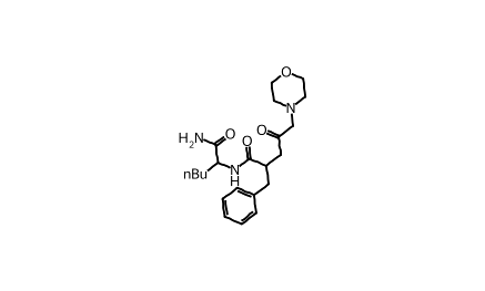 CCCCC(NC(=O)C(CC(=O)CN1CCOCC1)Cc1ccccc1)C(N)=O